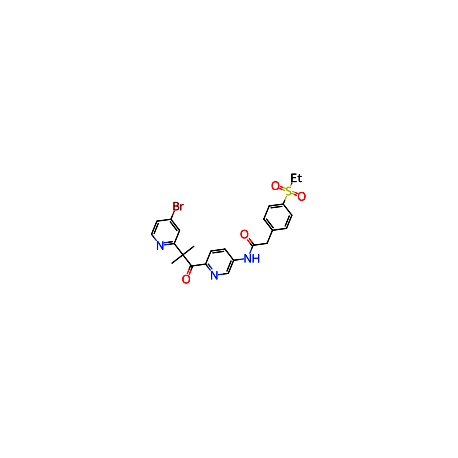 CCS(=O)(=O)c1ccc(CC(=O)Nc2ccc(C(=O)C(C)(C)c3cc(Br)ccn3)nc2)cc1